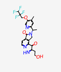 Cc1cc(C(C)N2Cc3c(ccnc3C(=O)C(=N)CCO)C2=O)ncc1OCC(F)(F)C(F)F